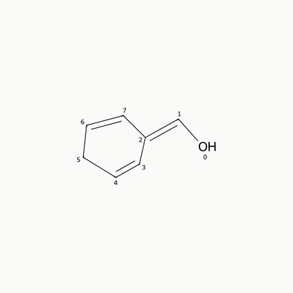 OC=C1C=CCC=C1